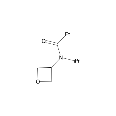 CCC(=O)N(C(C)C)C1COC1